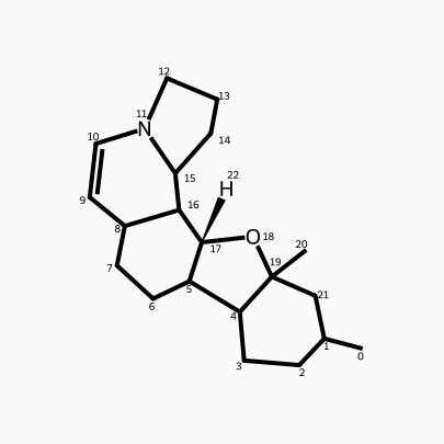 CC1CCC2C3CCC4C=CN5CCCC5C4[C@@H]3OC2(C)C1